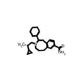 C[C@H](CN1CCCc2cc(C(N)=O)ccc2CC1C1CCCCC1)C1CC1